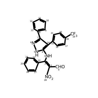 O=C/C(=C(\Nc1[nH]nc(-c2ccccc2)c1-c1ccc(C(F)(F)F)cc1)c1ccccc1)[N+](=O)[O-]